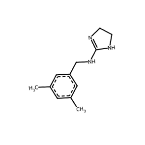 Cc1cc(C)cc(CNC2=NCCN2)c1